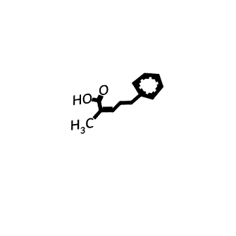 CC(=CCCc1ccccc1)C(=O)O